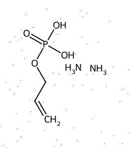 C=CCOP(=O)(O)O.N.N